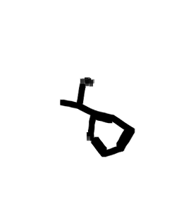 CCCC(C)c1ccccn1